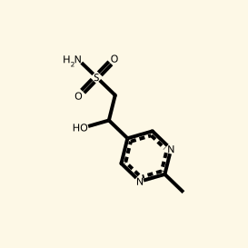 Cc1ncc(C(O)CS(N)(=O)=O)cn1